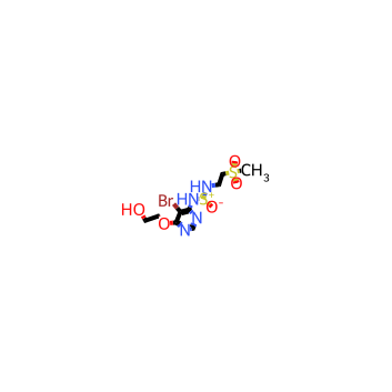 CS(=O)(=O)CCN[S+]([O-])Nc1ncnc(OCCO)c1Br